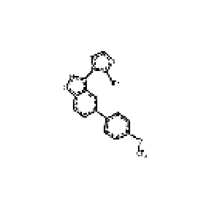 CC(C)c1nccn1-c1noc2ccc(-c3ccc(OC(F)(F)F)cc3)cc12